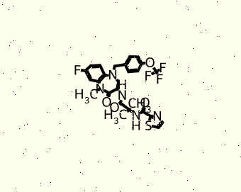 CN1C(=O)[C@H](NC(=O)C(C)(C)NC(=O)c2nccs2)CN(Cc2ccc(OC(F)(F)F)cc2)c2ccc(F)cc21